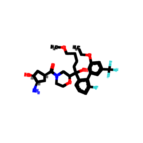 CCOc1cc(-c2c(F)cccc2C(O)(CCCCOC)C2CN(C(=O)[C@H]3C[C@@H](N)[C@@H](O)C3)CCO2)cc(C(F)(F)F)c1